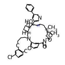 C[C@@H]1[C@@H](C)C/C=C/[C@](O)(c2cncc(-c3ccccc3)c2)[C@@H]2CC[C@H]2CN2CCCCc3cc(Cl)ccc3COc3ccc(cc32)C(=O)NS1(=O)=O